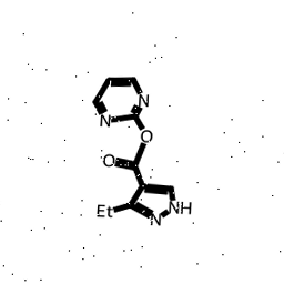 CCc1n[nH]cc1C(=O)Oc1ncccn1